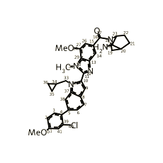 COc1ccc(-c2ccc3cc(-c4nc5cc(C(=O)N6CC7CCC6C7N)cc(OC)c5n4C)n(CC4CC4)c3c2)c(Cl)c1